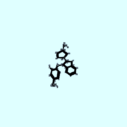 Nc1ccc(O[C@@H]2c3ccccc3C[C@H]2N2CC[C@H](N)C2)c(F)c1